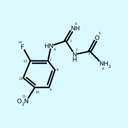 N=C(NC(N)=O)Nc1ccc([N+](=O)[O-])cc1F